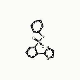 O=S(=O)([N]c1ccccc1)c1ccccc1-c1nccs1